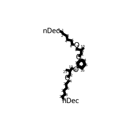 CCCCCCCCCCCCCCCCOCC(C)COc1cccc(OCC(C)COCCCCCCCCCCCCCCCC)c1